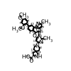 COc1ccc(-c2ccc([C@@H](Oc3cc(N4CCC5(CC4)CN[C@H](C(=O)O)C5)nc(C)n3)C(F)(F)F)c(-n3ccc(C)n3)c2)c(OC)c1